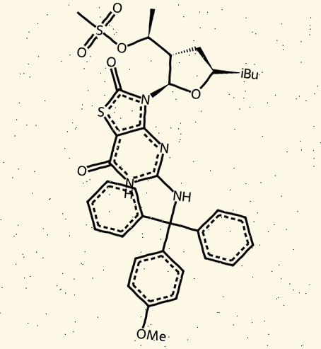 CC[C@H](C)[C@@H]1C[C@@H]([C@H](C)OS(C)(=O)=O)[C@H](n2c(=O)sc3c(=O)[nH]c(NC(c4ccccc4)(c4ccccc4)c4ccc(OC)cc4)nc32)O1